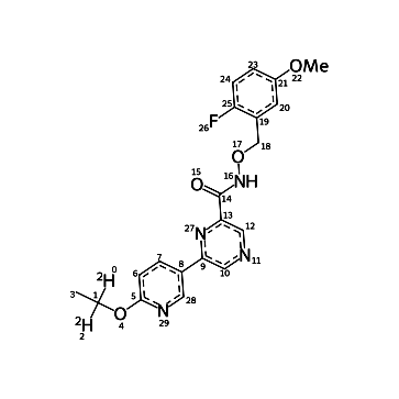 [2H]C([2H])(C)Oc1ccc(-c2cncc(C(=O)NOCc3cc(OC)ccc3F)n2)cn1